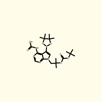 CC(C)(C)OC(=O)OC(C)(C)Cn1cc(B2OC(C)(C)C(C)(C)O2)c2c(NC(=O)O)ncnc21